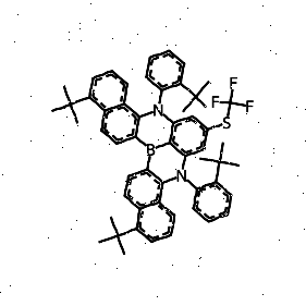 CC(C)(C)c1ccccc1N1c2cc(SC(F)(F)F)cc3c2B(c2ccc4c(C(C)(C)C)cccc4c21)c1ccc2c(C(C)(C)C)cccc2c1N3c1ccccc1C(C)(C)C